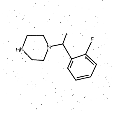 CC(c1ccccc1F)N1CCNCC1